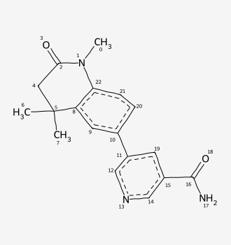 CN1C(=O)CC(C)(C)c2cc(-c3cncc(C(N)=O)c3)ccc21